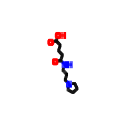 O=C(O)CCCC(=O)NCCCN1CCCC1